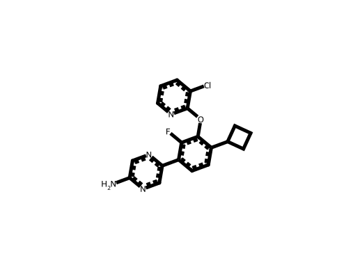 Nc1cnc(-c2ccc(C3CCC3)c(Oc3ncccc3Cl)c2F)cn1